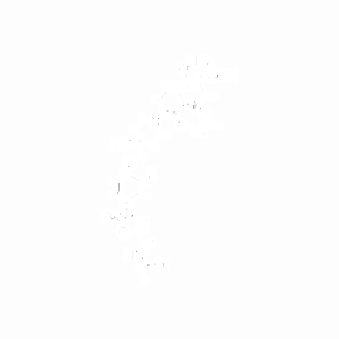 COc1c(N2CCC(O)(COc3ccc(N4C[C@H](CNC(C)=O)OC4=O)cc3F)CC2)ccc2c(=O)c(C(O)O)cn(C3CC3)c12